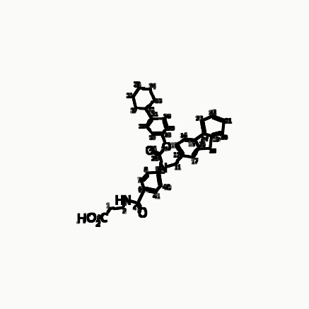 O=C(O)CCNC(=O)c1ccc(N(Cc2ccc3c(c2)Cc2ccccc2-3)C(=O)Oc2ccc(C3CCCCC3)cc2)cc1